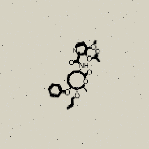 CCCO[C@H]1[C@H](C)OC(=O)[C@@H](NC(=O)c2nccc(OC)c2OC(C)=O)CCC[C@@H]1Oc1ccccc1